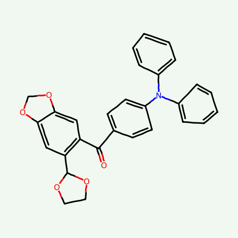 O=C(c1ccc(N(c2ccccc2)c2ccccc2)cc1)c1cc2c(cc1C1OCCO1)OCO2